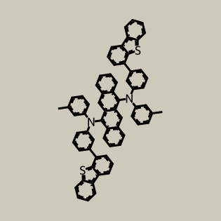 Cc1cccc(N(c2cccc(-c3cccc4c3sc3ccccc34)c2)c2c3ccccc3cc3c(N(c4cccc(C)c4)c4cccc(-c5cccc6c5sc5ccccc56)c4)c4ccccc4cc23)c1